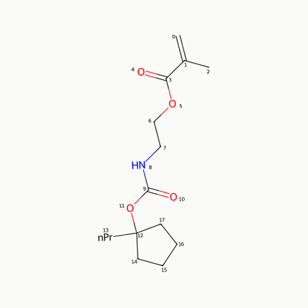 C=C(C)C(=O)OCCNC(=O)OC1(CCC)CCCC1